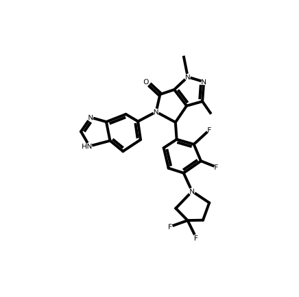 Cc1nn(C)c2c1C(c1ccc(N3CCC(F)(F)C3)c(F)c1F)N(c1ccc3[nH]cnc3c1)C2=O